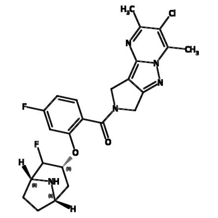 Cc1nc2c3c(nn2c(C)c1Cl)CN(C(=O)c1ccc(F)cc1O[C@@H]1C[C@@H]2CC[C@@H](N2)C1F)C3